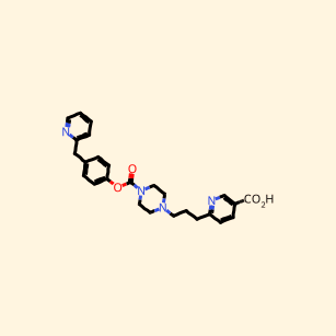 O=C(O)c1ccc(CCCN2CCN(C(=O)Oc3ccc(Cc4ccccn4)cc3)CC2)nc1